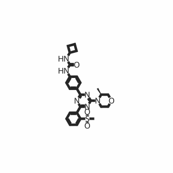 C[C@H]1COCCN1c1nc(-c2ccc(NC(=O)NC3CCC3)cc2)nc(-c2ccccc2S(C)(=O)=O)n1